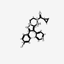 O=C(C1CC1)N1CCn2nc(-c3ccc(F)cc3)c(-c3ccncc3)c2N1